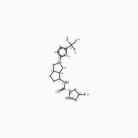 O=C(NC1CCC2CN(c3ccc(C(F)(F)F)s3)CC21)[C@@H]1CC(F)CN1